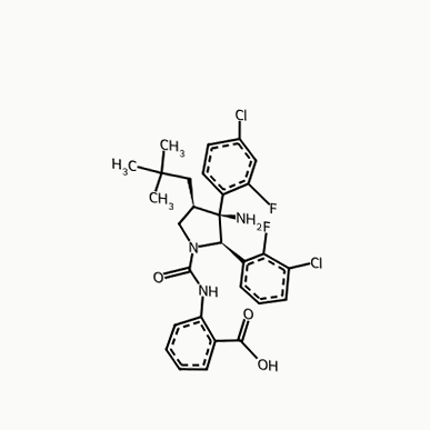 CC(C)(C)C[C@@H]1CN(C(=O)Nc2ccccc2C(=O)O)[C@H](c2cccc(Cl)c2F)[C@@]1(N)c1ccc(Cl)cc1F